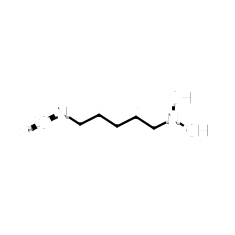 CN(C)CCCCCN=C=O